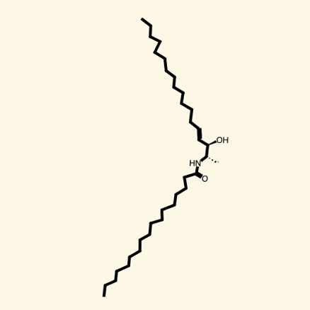 [CH2][C@H](NC(=O)CCCCCCCCCCCCCCCC)[C@H](O)/C=C/CCCCCCCCCCCCC